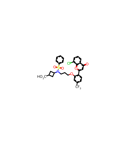 O=C(O)C1CC(N(CCCOc2cc(C(F)(F)F)ccc2-c2cc(=O)c3cccc(Cl)c3o2)S(=O)(=O)c2ccccc2)C1